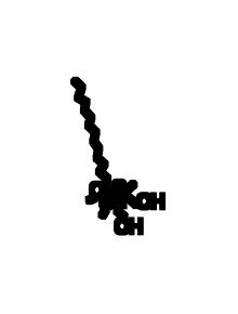 CCCCCCCCCCCCCCC(OCC)C(OCC)(OCC)N(CCO)CCO